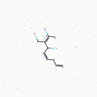 C=CC/C=C\C(F)/C(CF)=C(\C)F